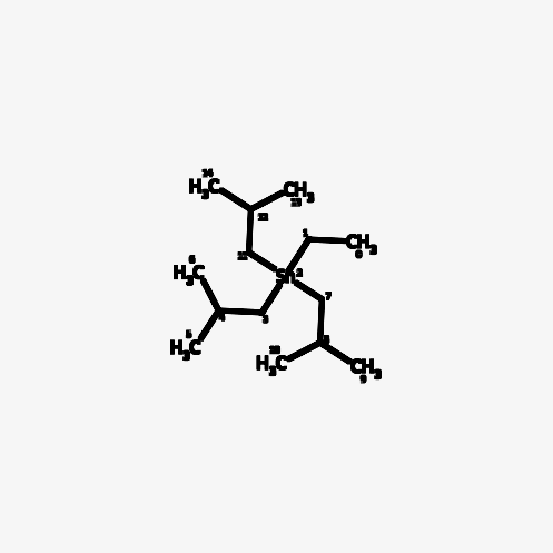 C[CH2][Sn]([CH2]C(C)C)([CH2]C(C)C)[CH2]C(C)C